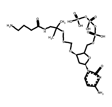 CC(C)(CNC(=O)CCCN)SSCO[C@@H]1C[C@H](n2ccc(N)nc2=O)OC1COP(=O)(O)OP(=O)(O)OP(=O)(O)O